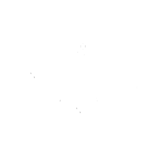 C1=NC=C2C1=Nc1ccccc12.O